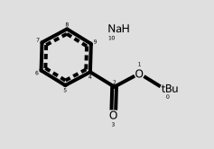 CC(C)(C)OC(=O)c1ccccc1.[NaH]